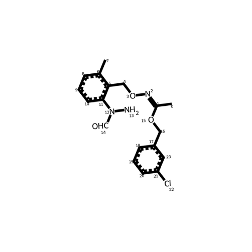 CC(=NOCc1c(C)cccc1N(N)C=O)OCc1cccc(Cl)c1